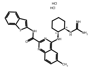 Cc1ccc2nc(C(=O)Nc3cc4ccccc4s3)nc(N[C@H]3CCCC[C@H]3NC(=N)N)c2c1.Cl.Cl